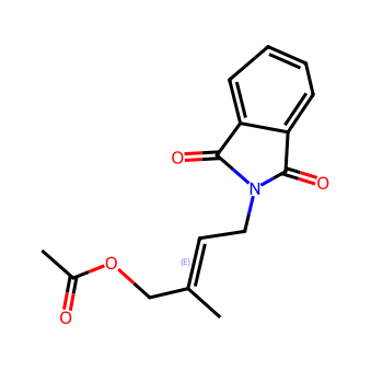 CC(=O)OC/C(C)=C/CN1C(=O)c2ccccc2C1=O